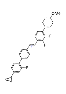 COC1CCC(c2ccc(/C=C/c3ccc(-c4ccc(C5CO5)cc4F)cc3)c(F)c2F)CC1